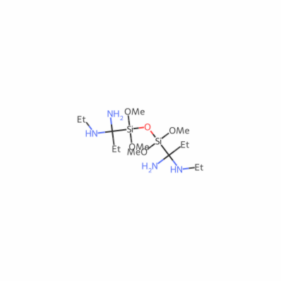 CCNC(N)(CC)[Si](OC)(OC)O[Si](OC)(OC)C(N)(CC)NCC